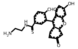 NCCNC(=S)c1ccc(C=O)c(-c2c3ccc(=O)cc-3oc3cc(O)ccc23)c1